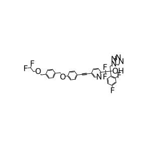 OC(Cn1cnnn1)(c1ccc(F)cc1F)C(F)(F)c1ccc(C#Cc2ccc(OCc3ccc(COCC(F)F)cc3)cc2)cn1